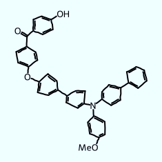 COc1ccc(N(c2ccc(-c3ccccc3)cc2)c2ccc(-c3ccc(Oc4ccc(C(=O)c5ccc(O)cc5)cc4)cc3)cc2)cc1